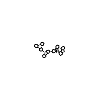 c1ccc(-c2ccccc2-c2ccc(-n3c4ccccc4c4cc(-c5ccc6c(c5)c5ccccc5n6-c5cccc6sc7ccccc7c56)ccc43)cc2)cc1